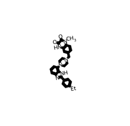 CCc1ccc(-c2nc3cccc(N4CCN(Cc5ccc6c(c5)[nH]c(=O)c(=O)n6C)CC4)c3[nH]2)cc1